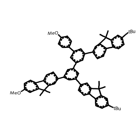 COc1ccc(-c2cc(-c3cc(-c4ccc5c(c4)C(C)(C)c4cc(OC)ccc4-5)cc(-c4ccc5c(c4)C(C)(C)c4cc(C(C)(C)C)ccc4-5)c3)cc(-c3ccc4c(c3)C(C)(C)c3cc(C(C)(C)C)ccc3-4)c2)cc1